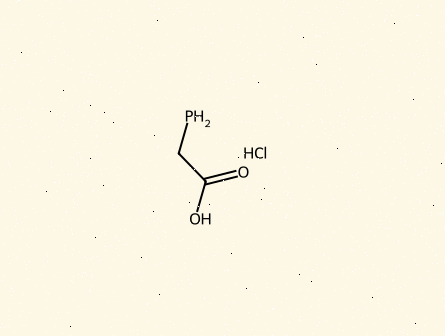 Cl.O=C(O)CP